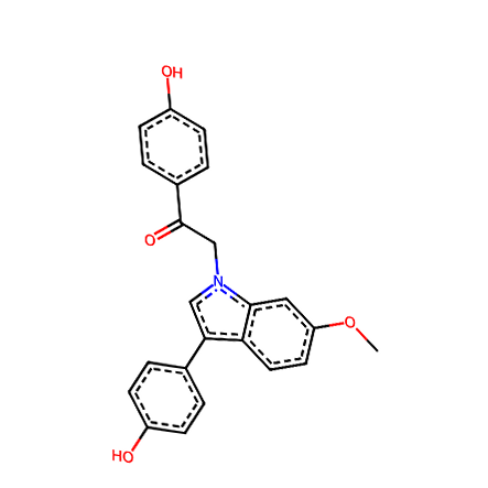 COc1ccc2c(-c3ccc(O)cc3)cn(CC(=O)c3ccc(O)cc3)c2c1